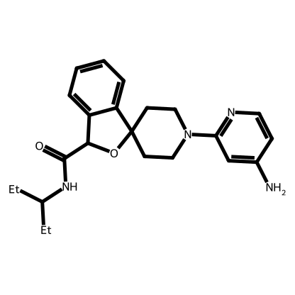 CCC(CC)NC(=O)C1OC2(CCN(c3cc(N)ccn3)CC2)c2ccccc21